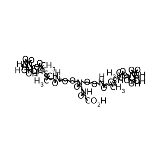 CC(C)(CCC(=O)NCCOCCOCCN(CCOCCOCCNC(=O)CCC(C)(C)SSCCC(C)(C)C(=O)OCC1[C@H](O)[C@@H](O)[C@@H](O)[C@@H]2NC(=O)C(=O)N12)C(=O)CCNC(=O)CCC(=O)O)SSCCC(C)(C)C(=O)OCC1[C@@H](O)[C@H](O)[C@H](O)[C@H]2NC(=O)C(=O)N12